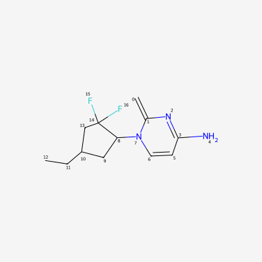 C=C1N=C(N)C=CN1C1CC(CC)CC1(F)F